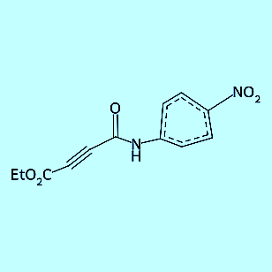 CCOC(=O)C#CC(=O)Nc1ccc([N+](=O)[O-])cc1